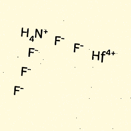 [F-].[F-].[F-].[F-].[F-].[Hf+4].[NH4+]